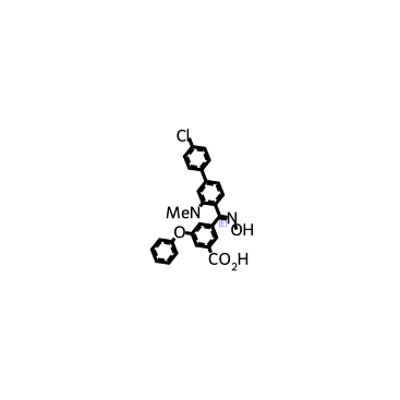 CNc1cc(-c2ccc(Cl)cc2)ccc1/C(=N/O)c1cc(Oc2ccccc2)cc(C(=O)O)c1